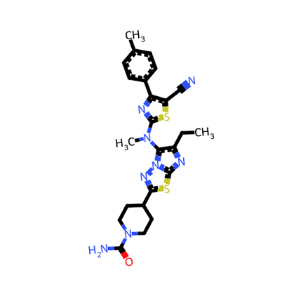 CCc1nc2sc(C3CCN(C(N)=O)CC3)nn2c1N(C)c1nc(-c2ccc(C)cc2)c(C#N)s1